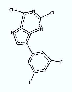 Fc1cc(F)cc(-n2cnc3c(Cl)nc(Cl)nc32)c1